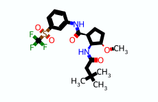 CO[C@H]1CC[C@H](C(=O)Nc2cccc(S(=O)(=O)C(F)(F)F)c2)[C@@H]1NC(=O)CC(C)(C)C